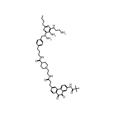 CCCSc1nc(NCCN)c(N)c(N(N)Cc2ccc(CCCNC(=O)C3CCN(CCNC(=O)CCc4ccc5c(c4)-c4ccc(NC(=O)C(C)(C)C)cc4C(=O)C5=O)CC3)cc2)n1